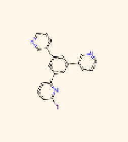 Ic1cccc(-c2cc(-c3cccnc3)cc(-c3cccnc3)c2)n1